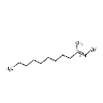 CCCCCCCCC/C(C)=N/O